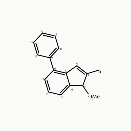 COC1C(C)=Cc2c(-c3ccccc3)cccc21